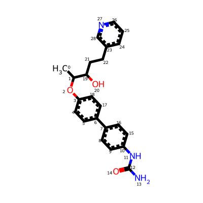 CC(Oc1ccc(-c2ccc(NC(N)=O)cc2)cc1)C(O)CCc1cccnc1